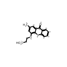 Cc1cc(OCCC(=O)O)c2sc3ccccc3c(=O)c2c1